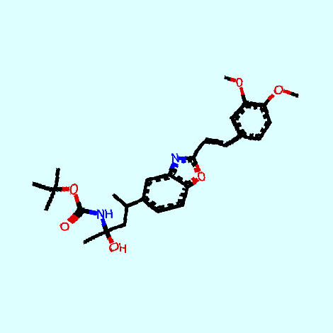 COc1ccc(C=Cc2nc3cc(C(C)CC(C)(O)NC(=O)OC(C)(C)C)ccc3o2)cc1OC